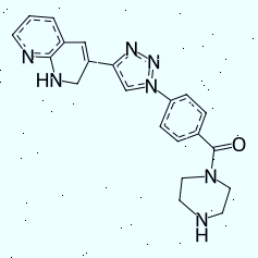 O=C(c1ccc(-n2cc(C3=Cc4cccnc4NC3)nn2)cc1)N1CCNCC1